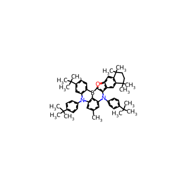 Cc1cc2c3c(c1)N(c1ccc(C(C)(C)C)cc1)c1c(oc4cc5c(cc14)C(C)(C)CCC5(C)C)B3c1ccc(C(C)(C)C)cc1N2c1ccc(C(C)(C)C)cc1